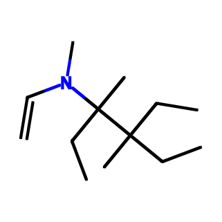 C=CN(C)C(C)(CC)C(C)(CC)CC